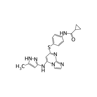 Cc1cc(Nc2cc(Sc3ccc(NC(=O)C4CC4)cc3)nc3nccn23)n[nH]1